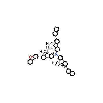 CC1(C)c2cc(-c3ccc4ccccc4c3)ccc2-c2ccc(N(c3ccc4c(c3)C(C)(C)c3cc(-c5ccc6ccccc6c5)ccc3-4)c3ccc4c(c3)C(C)(C)c3cc(-c5ccc6oc7ccccc7c6c5)ccc3-4)cc21